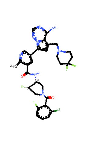 COc1ncc(-c2cc(CN3CCC(F)(F)CC3)c3c(N)ncnn23)cc1C(=O)N[C@@H]1CN(C(=O)c2c(F)cccc2Cl)C[C@@H]1F